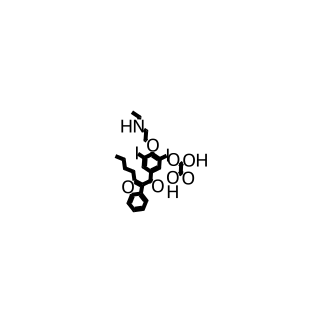 CCCCc1oc2ccccc2c1C(=O)c1cc(I)c(OCCNCC)c(I)c1.O=C(O)C(=O)O